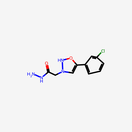 NNC(=O)CN1C=C(c2cccc(Cl)c2)ON1